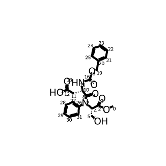 COC(=O)[C@H](CO)N(C(=O)[C@H](CC(=O)O)NC(=O)OCc1ccccc1)c1ccccc1